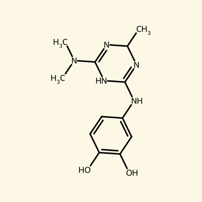 CC1N=C(Nc2ccc(O)c(O)c2)NC(N(C)C)=N1